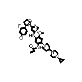 C=CC(=O)Nc1cc(Nc2cc(N3OCC[C@@H]3c3ccc(Cl)cc3F)ncn2)c(OC)cc1N1CCC(N2CCN(C3CC3)CC2)CC1